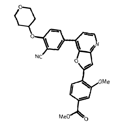 COC(=O)c1ccc(-c2cc3nccc(-c4ccc(OC5CCOCC5)c(C#N)c4)c3o2)c(OC)c1